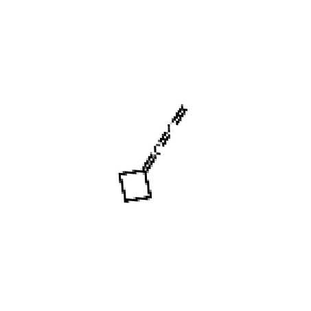 C=C=C=C1CCC1